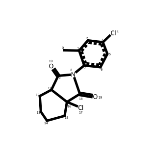 Cc1cc(Cl)ccc1N1C(=O)C2CCCCC2(Cl)C1=O